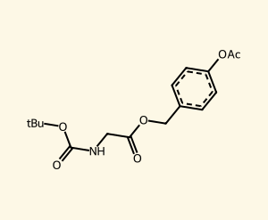 CC(=O)Oc1ccc(COC(=O)CNC(=O)OC(C)(C)C)cc1